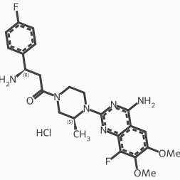 COc1cc2c(N)nc(N3CCN(C(=O)C[C@@H](N)c4ccc(F)cc4)C[C@@H]3C)nc2c(F)c1OC.Cl